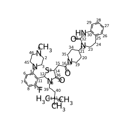 CN1CCN(c2cccc(F)c2C2SC(CC(=O)N3CCC(N4CCc5ccccc5NC4=O)CC3)C(=O)N2CCC(C)(C)C)CC1